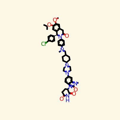 COc1cc2c(cc1OC(C)C)[C@H](c1ccc(Cl)cc1)N(c1ccc(N(C)CC3CCC(N4CCN(c5ccc6c(c5)n(C)c(=O)n6C5CCC(=O)NC5=O)CC4)CC3)cc1)C(=O)C2